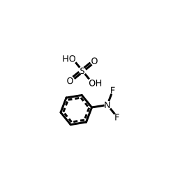 FN(F)c1ccccc1.O=S(=O)(O)O